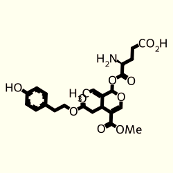 C/C=C1/C(OC(=O)[C@@H](N)CCC(=O)O)OC=C(C(=O)OC)C1CC(=O)OCCc1ccc(O)cc1